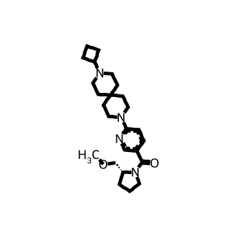 COC[C@H]1CCCN1C(=O)c1ccc(N2CCC3(CC2)CCN(C2CCC2)CC3)nc1